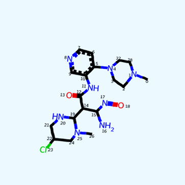 CN1CCN(c2ccncc2NC(=O)C(C(N)N=O)C2NCC(Cl)CN2C)CC1